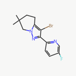 CC1(C)CCc2c(Br)c(-c3ccc(F)cn3)nn2C1